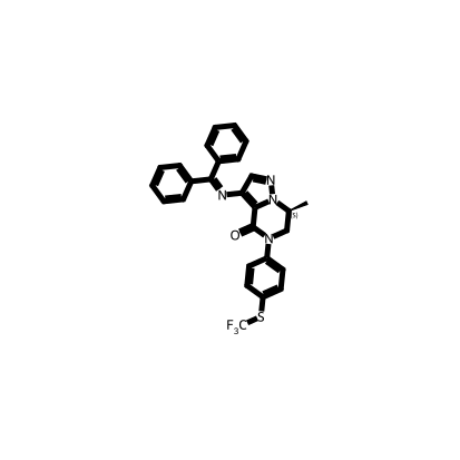 C[C@H]1CN(c2ccc(SC(F)(F)F)cc2)C(=O)c2c(N=C(c3ccccc3)c3ccccc3)cnn21